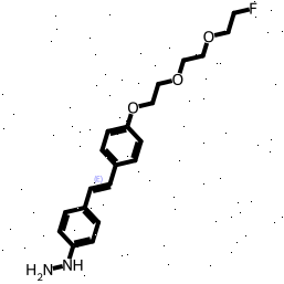 NNc1ccc(/C=C/c2ccc(OCCOCCOCCF)cc2)cc1